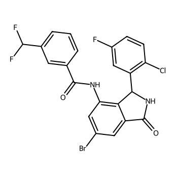 O=C(Nc1cc(Br)cc2c1C(c1cc(F)ccc1Cl)NC2=O)c1cccc(C(F)F)c1